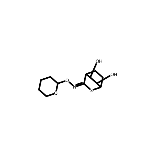 OC1C2CCC(C(=NOC3CCCCO3)S2)C1O